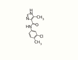 Cc1ccc(NC(=O)c2nc[nH]c2C)cc1Cl